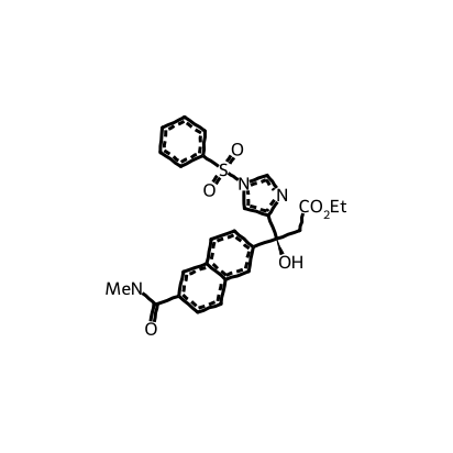 CCOC(=O)C[C@](O)(c1ccc2cc(C(=O)NC)ccc2c1)c1cn(S(=O)(=O)c2ccccc2)cn1